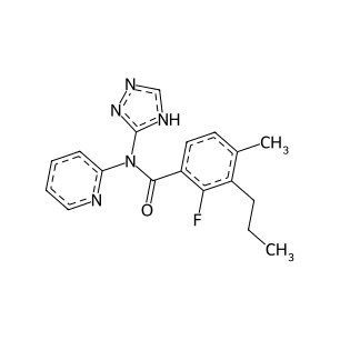 CCCc1c(C)ccc(C(=O)N(c2ccccn2)c2nnc[nH]2)c1F